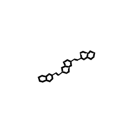 C(=Cc1ccc2cc(C=Cc3ccc4ccccc4c3)ccc2c1)c1ccc2ccccc2c1